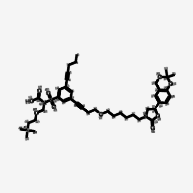 CCCC#Cc1cc(C#CCCOCCCCCCN2C[C@@H](c3ccc4c(c3)COC(C)(C)O4)OC2=O)cc(S(=O)(=O)N(COCC[Si](C)(C)C)C(=O)O)c1